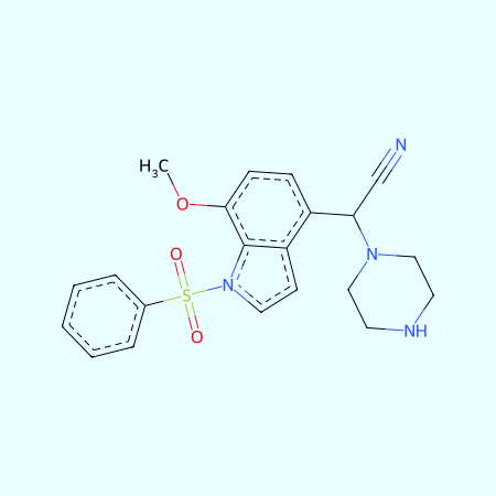 COc1ccc(C(C#N)N2CCNCC2)c2ccn(S(=O)(=O)c3ccccc3)c12